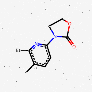 CCc1nc(N2CCOC2=O)ccc1C